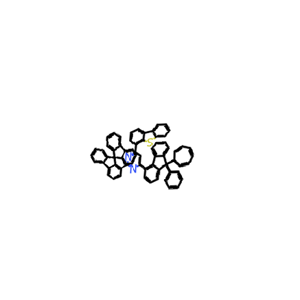 C1=CC=CC(C2(c3ccccc3)c3ccccc3-c3c(-c4cc(-c5cccc6c5sc5ccccc56)nc(-c5cccc6c5C5(c7ccccc7-c7ccccc75)c5ccccc5-6)n4)cccc32)C=C1